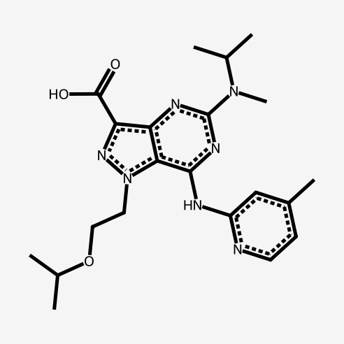 Cc1ccnc(Nc2nc(N(C)C(C)C)nc3c(C(=O)O)nn(CCOC(C)C)c23)c1